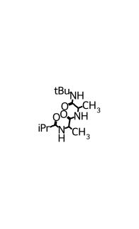 CC(C)C(=O)NC(C)C(=O)NC(C)C(=O)NC(C)(C)C